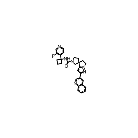 O=C(NC1(c2ccncc2F)CCC1)N1CCC2(CCn3nc(-c4cnc5ccccc5c4)cc32)C1